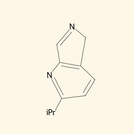 CC(C)c1ccc2c(n1)C=NC2